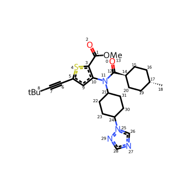 COC(=O)c1sc(C#CC(C)(C)C)cc1N(C(=O)[C@H]1CC[C@H](C)CC1)C1CCC(n2cncn2)CC1